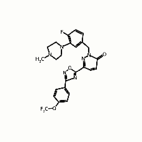 CN1CCN(c2cc(Cn3nc(-c4nc(-c5ccc(OC(F)(F)F)cc5)no4)ccc3=O)ccc2F)CC1